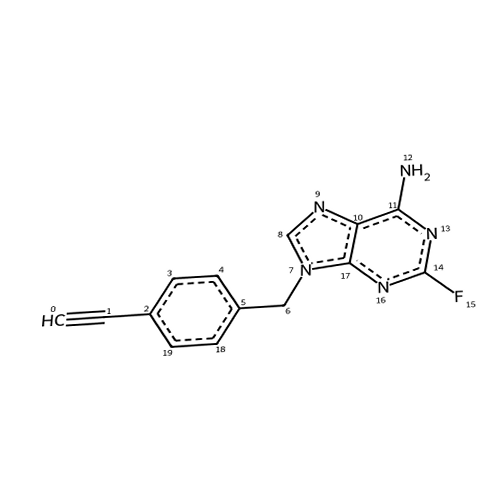 C#Cc1ccc(Cn2cnc3c(N)nc(F)nc32)cc1